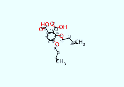 CCCCOc1ccc(C(=O)O)c(C(=O)O)c1OCCCC